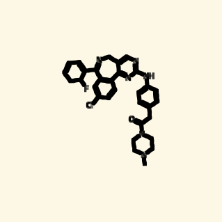 CN1CCN(C(=O)Cc2ccc(Nc3ncc4c(n3)-c3ccc(Cl)cc3C(C3=CC=CCC3F)=NC4)cc2)CC1